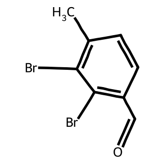 Cc1ccc(C=O)c(Br)c1Br